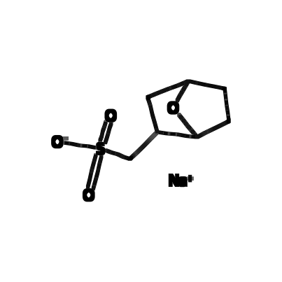 O=S(=O)([O-])CC1CC2CCC1O2.[Na+]